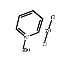 CCCC[n+]1ccccc1.[Cl][Zn][Cl]